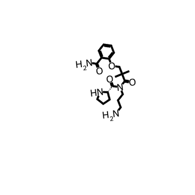 CC(C)(COc1ccccc1C(N)=O)C(=O)N(CCCN)C(=O)[C@@H]1CCCN1